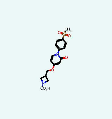 CS(=O)(=O)c1ccc(-n2ccc(OCC3CN(C(=O)O)C3)cc2=O)cc1